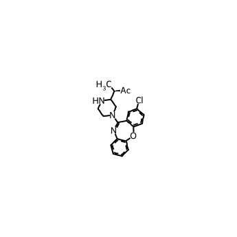 CC(=O)[C@H](C)C1CN(C2=Nc3ccccc3Oc3ccc(Cl)cc32)CCN1